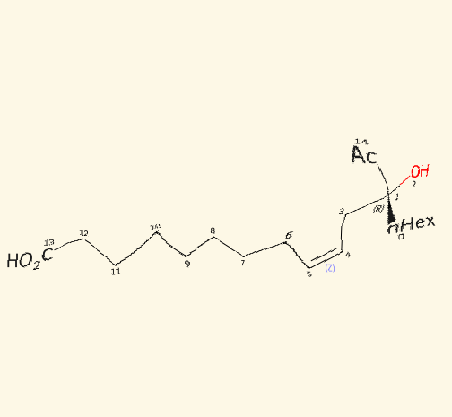 CCCCCC[C@@](O)(C/C=C\CCCCCCCC(=O)O)C(C)=O